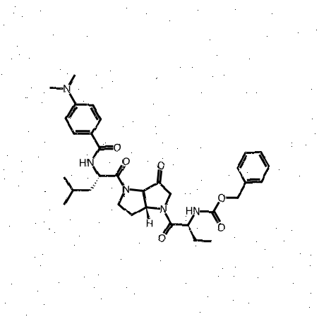 CC[C@H](NC(=O)OCc1ccccc1)C(=O)N1CC(=O)C2[C@H]1CCN2C(=O)[C@H](CC(C)C)NC(=O)c1ccc(N(C)C)cc1